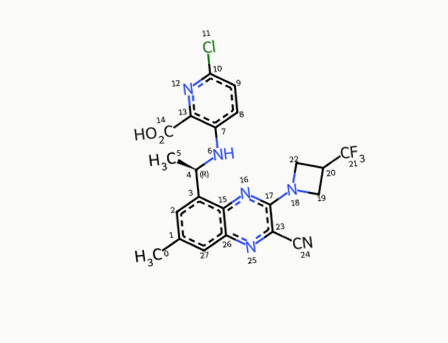 Cc1cc([C@@H](C)Nc2ccc(Cl)nc2C(=O)O)c2nc(N3CC(C(F)(F)F)C3)c(C#N)nc2c1